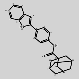 O=C(Nc1ccc(-c2nc3ccncc3[nH]2)cc1)C12CC3CC(CC(C3)C1)C2